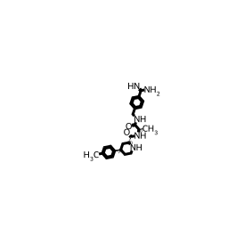 Cc1ccc([C@@H]2CCN[C@@H](C(=O)N[C@@H](C)C(=O)NCc3ccc(C(=N)N)cc3)C2)cc1